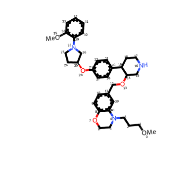 COCCCN1CCOc2ccc(COC3CNCCC3c3ccc(O[C@H]4CCN(c5ccccc5OC)C4)cc3)cc21